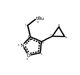 CC(C)(C)Cc1nocc1C1CC1